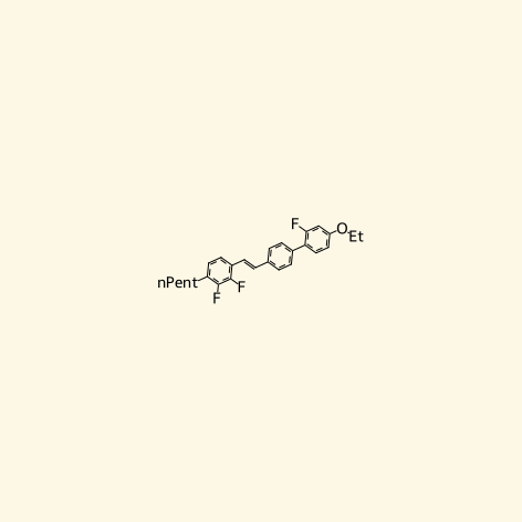 CCCCCc1ccc(/C=C/c2ccc(-c3ccc(OCC)cc3F)cc2)c(F)c1F